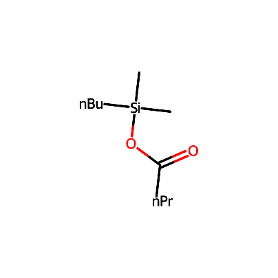 [CH2]CCC(=O)O[Si](C)(C)CCCC